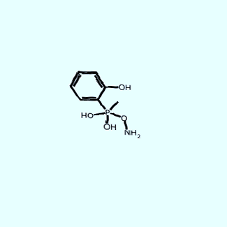 CP(O)(O)(ON)c1ccccc1O